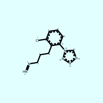 N=NCCCc1c(Cl)cccc1-n1cnnn1